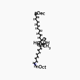 CCCCCCCC/C=C\CCCCCCCC(=O)C(C)(O)C(O)C(=O)CCCCCCCCCCCCCCCCCCCCC